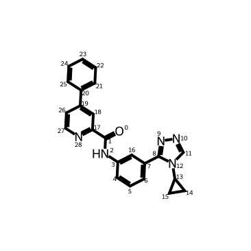 O=C(Nc1cccc(-c2nncn2C2CC2)c1)c1cc(-c2ccccc2)ccn1